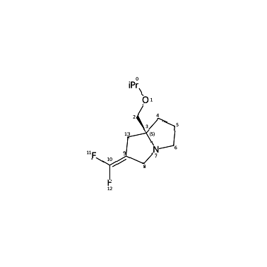 CC(C)OC[C@@]12CCCN1CC(=C(F)F)C2